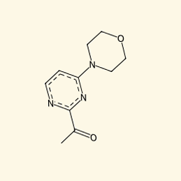 CC(=O)c1nccc(N2CCOCC2)n1